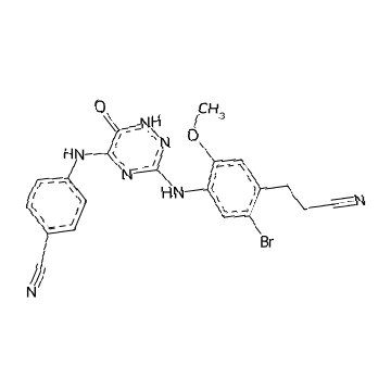 COc1cc(CCC#N)c(Br)cc1Nc1n[nH]c(=O)c(Nc2ccc(C#N)cc2)n1